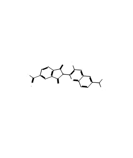 CC(C)c1ccc2nc(C3C(=O)c4ccc(C(N)=O)cc4C3=O)c(O)cc2c1